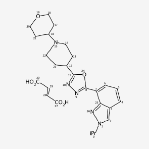 CC(C)n1cc2cccc(-c3nnc(C4CCN(C5CCOCC5)CC4)o3)c2n1.O=C(O)/C=C/C(=O)O